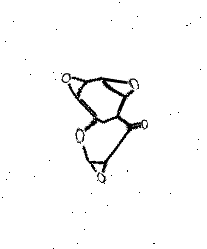 O=C1C2OC2OC2=C3OC3C3OC3C12